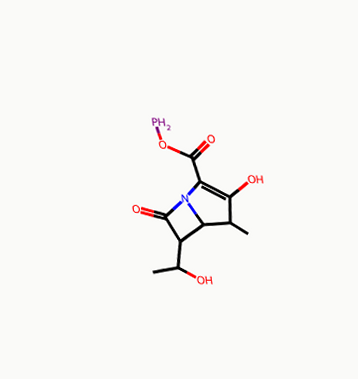 CC(O)C1C(=O)N2C(C(=O)OP)=C(O)C(C)C12